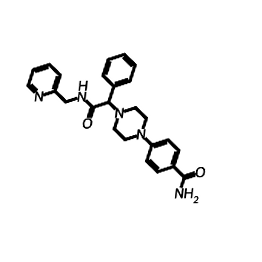 NC(=O)c1ccc(N2CCN(C(C(=O)NCc3ccccn3)c3ccccc3)CC2)cc1